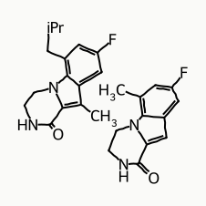 Cc1c2n(c3c(CC(C)C)cc(F)cc13)CCNC2=O.Cc1cc(F)cc2cc3n(c12)CCNC3=O